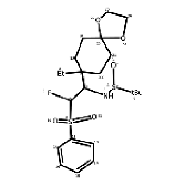 CCC1(C(N[S+]([O-])C(C)(C)C)C(F)S(=O)(=O)c2ccccc2)CCC2(CC1)OCCO2